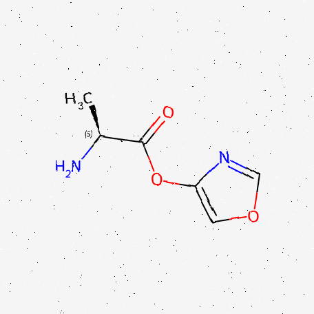 C[C@H](N)C(=O)Oc1cocn1